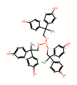 CC(COP(OCC(C)(c1ccc(O)cc1)c1ccc(O)cc1)OCC(C)(c1ccc(O)cc1)c1ccc(O)cc1)(c1ccc(O)cc1)c1ccc(O)cc1